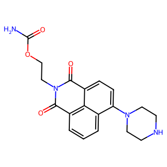 NC(=O)OCCN1C(=O)c2cccc3c(N4CCNCC4)ccc(c23)C1=O